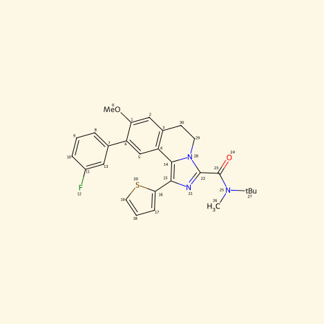 COc1cc2c(cc1-c1cccc(F)c1)-c1c(-c3cccs3)nc(C(=O)N(C)C(C)(C)C)n1CC2